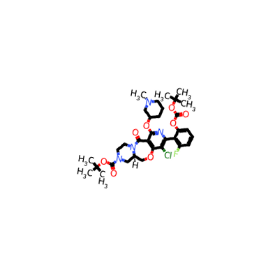 CN1CCCC(Oc2nc(-c3c(F)cccc3OC(=O)OC(C)(C)C)c(Cl)c3c2C(=O)N2CCN(C(=O)OC(C)(C)C)C[C@@H]2CO3)C1